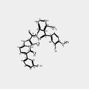 CC(C)Oc1ccc(-c2nn(C(C)c3sc4ccc(-c5cccc(F)c5)c(=O)n4c3Cl)c3ncnc(N)c23)cc1F